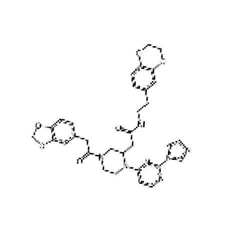 O=C(CC1CN(C(=O)Cc2ccc3c(c2)OCO3)CCN1c1ccnc(-n2ccnc2)n1)NCCc1ccc2c(c1)OCCO2